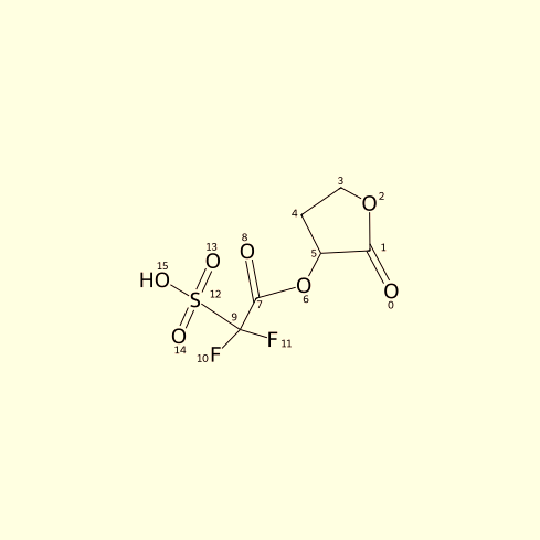 O=C1OCCC1OC(=O)C(F)(F)S(=O)(=O)O